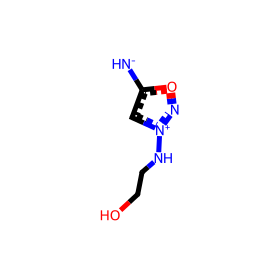 [NH-]c1c[n+](NCCO)no1